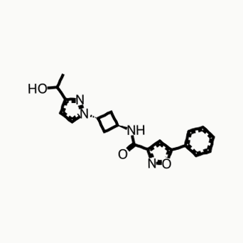 CC(O)c1ccn([C@H]2C[C@H](NC(=O)c3cc(-c4ccccc4)on3)C2)n1